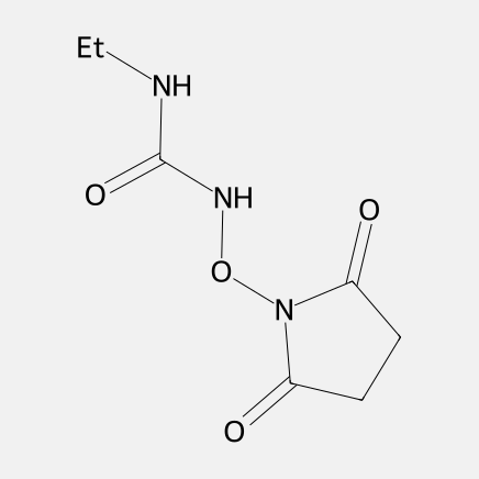 CCNC(=O)NON1C(=O)CCC1=O